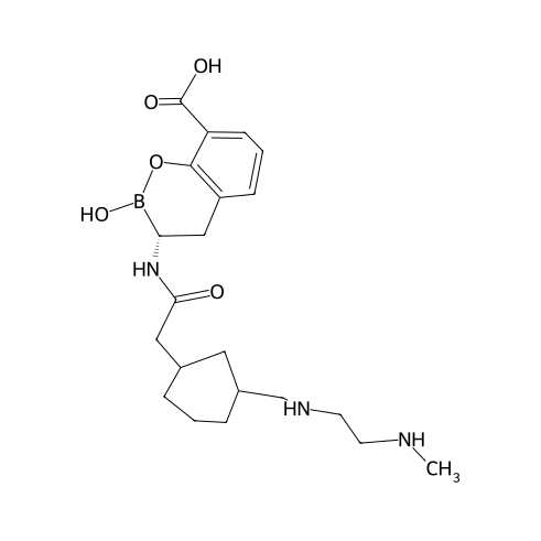 CNCCNCC1CCCC(CC(=O)N[C@H]2Cc3cccc(C(=O)O)c3OB2O)C1